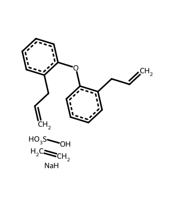 C=C.C=CCc1ccccc1Oc1ccccc1CC=C.O=S(=O)(O)O.[NaH]